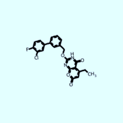 CCc1cc(=O)oc2nc(OCc3cccc(-c4ccc(F)c(Cl)c4)c3)[nH]c(=O)c12